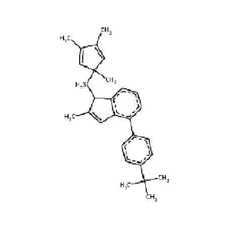 CC1=CC(C)([SiH2]C2C(C)=Cc3c(-c4ccc(C(C)(C)C)cc4)cccc32)C=C1C